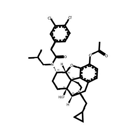 CC(=O)Oc1ccc2c3c1O[C@H]1[C@@H](N(CC(C)C)C(=O)Cc4ccc(Cl)c(Cl)c4)CC[C@@]4(O)[C@@H](C2)N(CC2CC2)CC[C@]314